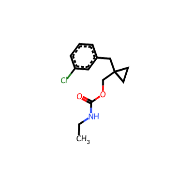 CCNC(=O)OCC1(Cc2cccc(Cl)c2)CC1